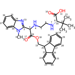 Cn1c(C(NCCN[C@H](C(=O)O)C(C)(C)C)C(=O)OCC2c3ccccc3-c3ccccc32)nc2ccccc21